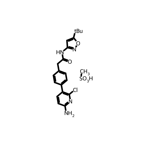 CC(C)(C)c1cc(NC(=O)Cc2ccc(-c3ccc(N)nc3Cl)cc2)no1.CS(=O)(=O)O